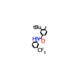 Cc1ccc(C(=O)Nc2cccc(C(F)(F)F)c2)cc1C(C)(C)C